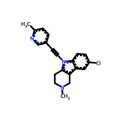 Cc1ccc(C#Cn2c3c(c4cc(Cl)ccc42)CN(C)CC3)cn1